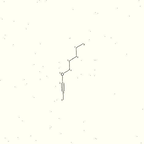 CC#COCCCCC